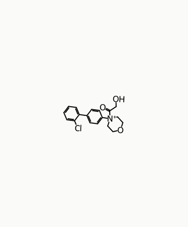 O=C(CO)[N+]1(c2ccc(-c3ccccc3Cl)cc2)CCOCC1